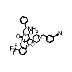 N#Cc1cccc(CN2CCC3(CC2)OCc2c3c(=O)n(C[C@H](N)c3ccccc3)c(=O)n2Cc2c(F)cccc2C(F)(F)F)c1